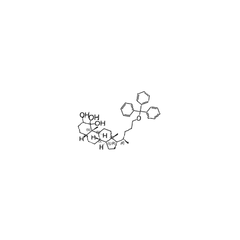 C[C@H](CCCOC(c1ccccc1)(c1ccccc1)c1ccccc1)[C@H]1CC[C@H]2[C@@H]3CC[C@@H]4CCC(O)C(O)(O)[C@]4(C)[C@H]3CC[C@]12C